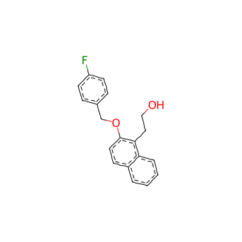 OCCc1c(OCc2ccc(F)cc2)ccc2ccccc12